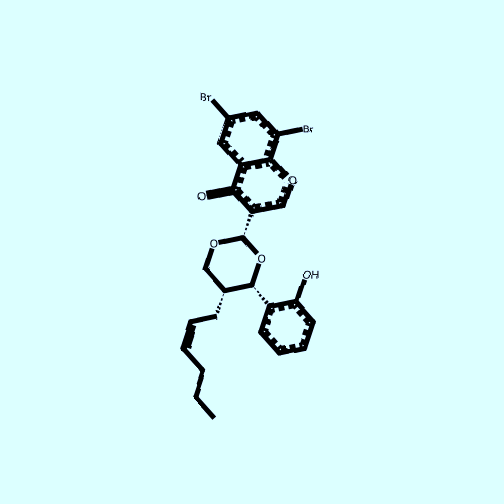 CCC/C=C\C[C@@H]1CO[C@H](c2coc3c(Br)cc(Br)cc3c2=O)O[C@@H]1c1ccccc1O